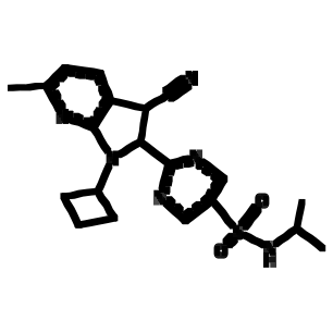 Cc1ccc2c(n1)N(C1CCC1)C(c1ncc(S(=O)(=O)NC(C)C)cn1)C2C#N